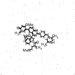 CNCCN(C)C(=O)OCC(OC1CC1)(c1ccccc1)c1nc(N2CCC(CN3C[C@@H](C)NC[C@@H]3C)CC2)nc2ccc(-c3cn(C)c(=O)cc3OC)cc12